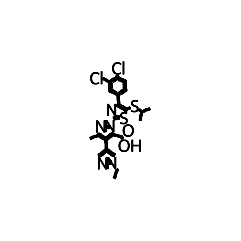 CCn1cc(-c2c(C)nn(-c3nc(-c4ccc(Cl)c(Cl)c4)c(SC(C)C)s3)c2C(=O)O)cn1